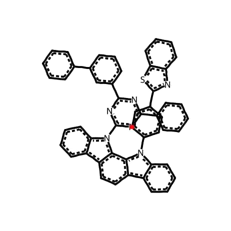 c1ccc(-c2cccc(-c3nc(-c4ccccc4)nc(-n4c5ccccc5c5ccc6c7ccccc7n(-c7ccc(-c8nc9ccccc9s8)cc7)c6c54)n3)c2)cc1